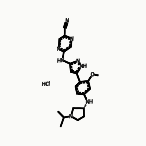 COc1cc(N[C@@H]2CCN(C(C)C)C2)ccc1-c1cc(Nc2cnc(C#N)cn2)n[nH]1.Cl